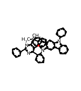 C[Si]1(C)c2ccccc2-c2c(-c3ccccc3-n3c4ccccc4c4cc5c(cc43)c3ccccc3n5-c3ccccc3)nc(-c3ccccc3)nc21